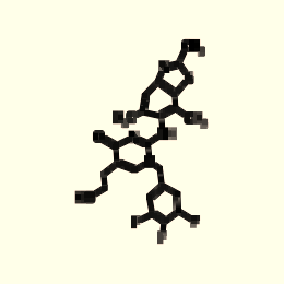 Cc1nc2cc(C)c(Nc3nc(=O)c(CCO)cn3Cc3cc(F)c(F)c(F)c3)c(C)c2s1